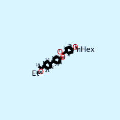 CCCCCCOc1ccc(C(=O)Oc2ccc(-c3ccc(C(C)OCC)cc3)cc2)cc1